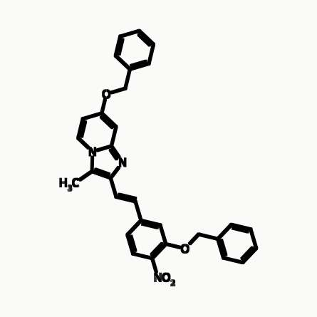 Cc1c(C=Cc2ccc([N+](=O)[O-])c(OCc3ccccc3)c2)nc2cc(OCc3ccccc3)ccn12